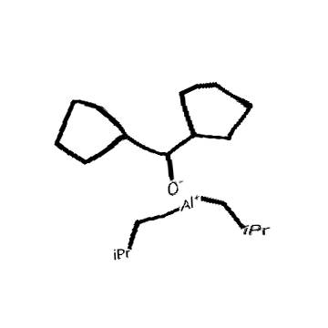 CC(C)[CH2][Al+][CH2]C(C)C.[O-]C(C1CCCC1)C1CCCC1